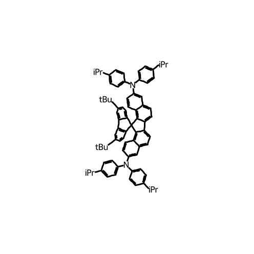 CC(C)c1ccc(N(c2ccc(C(C)C)cc2)c2ccc3c4c(ccc3c2)-c2ccc3cc(N(c5ccc(C(C)C)cc5)c5ccc(C(C)C)cc5)ccc3c2C42c3ccc(C(C)(C)C)cc3-c3cc(C(C)(C)C)ccc32)cc1